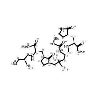 COC(=O)[C@H](C[C@@H]1CCNC1=O)NC[C@H](CC(C)(C)CN1CC[C@@H](C[C@H](NC[C@@H](N)CC(C)(C)C)C(=O)OC)C1=O)NC(=O)OC(C)(C)C